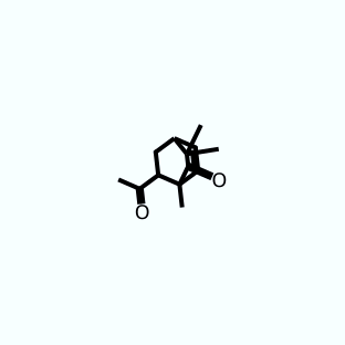 CC(=O)C1CC2C=CC1(C)C(=O)C2(C)C